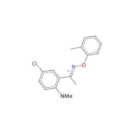 CNc1ccc(Cl)cc1/C(C)=N/Oc1ccccc1C